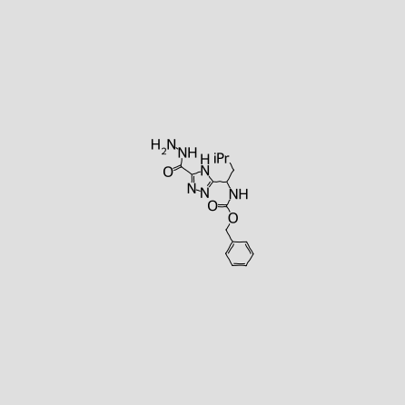 CC(C)CC(NC(=O)OCc1ccccc1)c1nnc(C(=O)NN)[nH]1